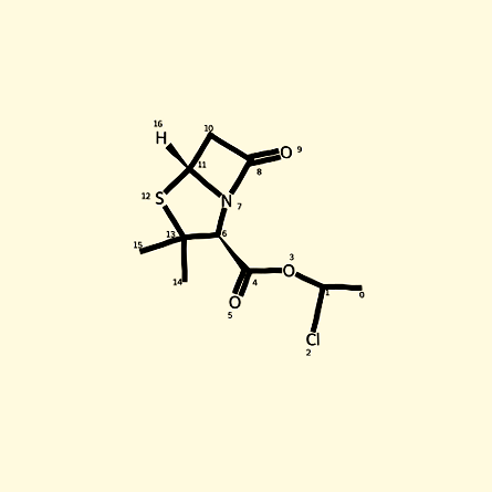 CC(Cl)OC(=O)[C@@H]1N2C(=O)C[C@H]2SC1(C)C